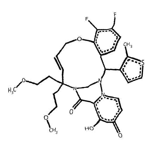 COCCC1(CCOC)/C=C/COc2c(ccc(F)c2F)C(c2ccsc2C)N2CN1C(=O)c1c(O)c(=O)ccn12